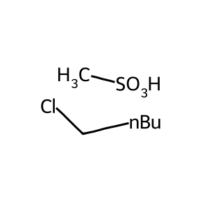 CCCCCCl.CS(=O)(=O)O